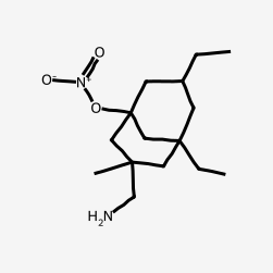 CCC1CC2(CC)CC(C)(CN)CC(O[N+](=O)[O-])(C1)C2